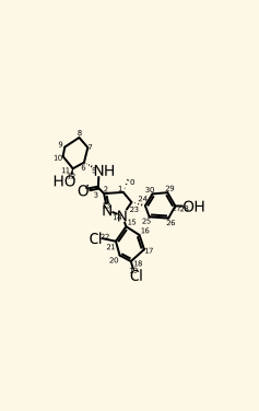 C[C@H]1C(C(=O)N[C@H]2CCCC[C@@H]2O)=NN(c2ccc(Cl)cc2Cl)[C@H]1c1ccc(O)cc1